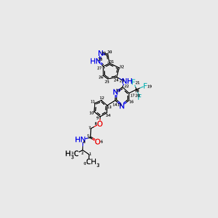 CCC(C)NC(=O)COc1cccc(-c2ncc(C(F)(F)F)c(Nc3ccc4[nH]ncc4c3)n2)c1